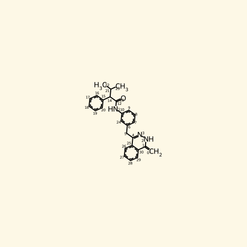 C=C1NN=C(Cc2cccc(NC(=O)C(c3ccccc3)C(C)C)c2)c2ccccc21